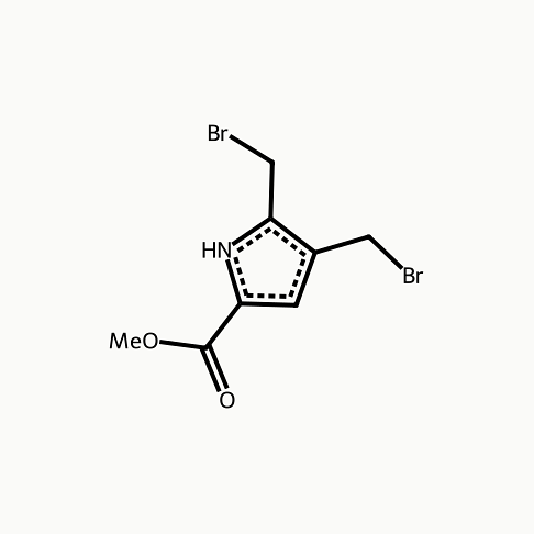 COC(=O)c1cc(CBr)c(CBr)[nH]1